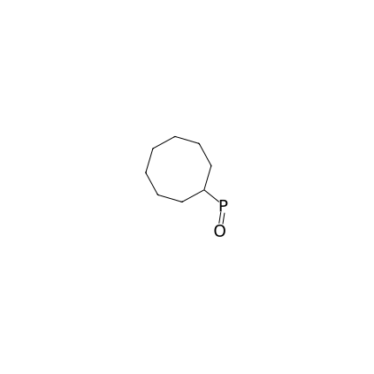 O=PC1CCCCCCC1